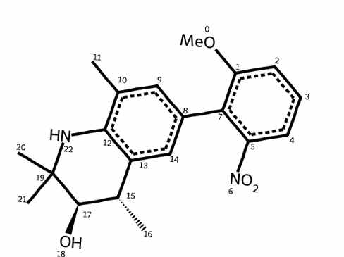 COc1cccc([N+](=O)[O-])c1-c1cc(C)c2c(c1)[C@H](C)[C@@H](O)C(C)(C)N2